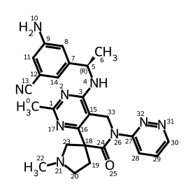 Cc1nc(N[C@H](C)c2cc(N)cc(C#N)c2)c2c(n1)C1(CCN(C)C1)C(=O)N(c1cccnn1)C2